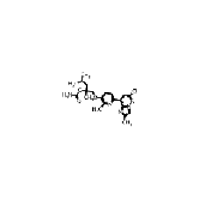 Cc1cn2nc(Cl)cc(-c3ccc(OCC(C)(CC(C)C)OC(N)=O)c(C)n3)c2n1